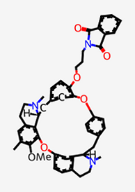 COc1c(C)cc2c3c1Oc1ccc4c(c1)[C@H](Cc1ccc(cc1)Oc1cc(ccc1OCCCN1C(=O)c5ccccc5C1=O)C[C@H]3N(C)CC2)N(C)CC4